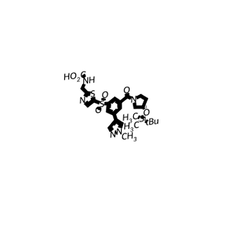 Cn1cc(-c2cc(C(=O)N3CC[C@@H](O[Si](C)(C)C(C)(C)C)C3)cc(S(=O)(=O)c3cnc(CNC(=O)O)s3)c2)cn1